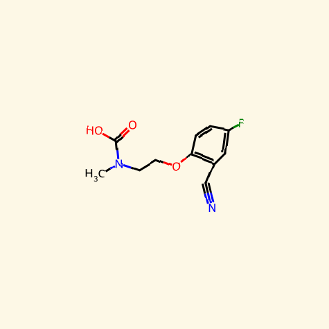 CN(CCOc1ccc(F)cc1C#N)C(=O)O